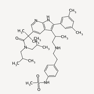 Cc1cc(C)cc(-c2[nH]c3ncc(C(C)(C)C(=O)N(CC(C)C)CC(C)C)cc3c2C(C)CNCCc2ccc(NS(C)(=O)=O)cc2)c1